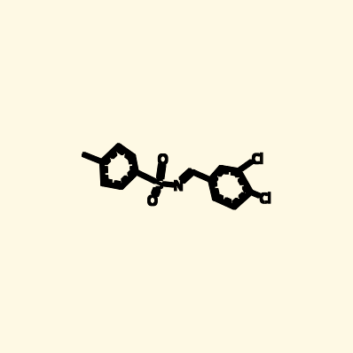 Cc1ccc(S(=O)(=O)/N=C/c2ccc(Cl)c(Cl)c2)cc1